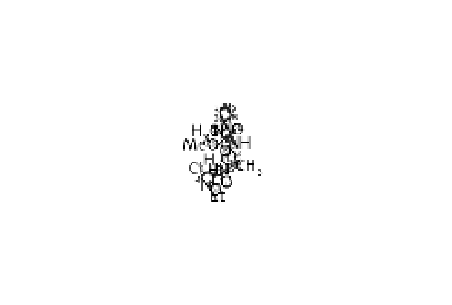 CCOc1ncc(Cl)cc1C(=O)NCC(C)(C)CC(=O)Nc1c(COC)n(C)n(-c2ccccc2)c1=O